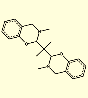 CN1Cc2ccccc2OC1C(C)(C)C1Oc2ccccc2CN1C